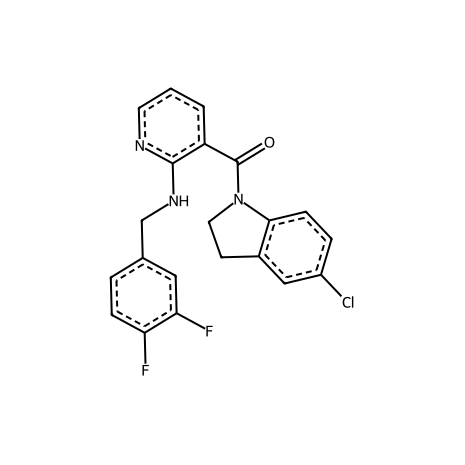 O=C(c1cccnc1NCc1ccc(F)c(F)c1)N1CCc2cc(Cl)ccc21